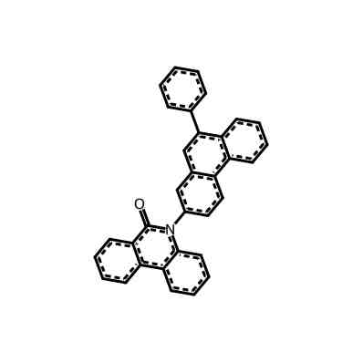 O=c1c2ccccc2c2ccccc2n1-c1ccc2c(c1)cc(-c1ccccc1)c1ccccc12